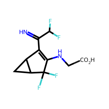 N=C(C1=C(NCC(=O)O)C(F)(F)C2CC12)C(F)F